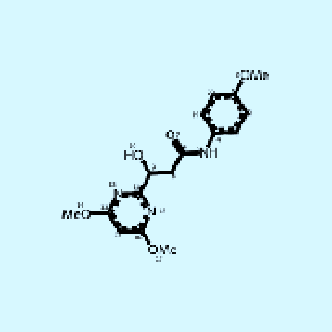 COc1ccc(NC(=O)CC(O)c2nc(OC)cc(OC)n2)cc1